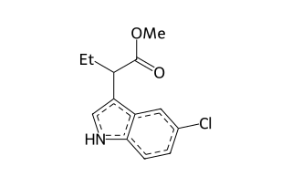 CCC(C(=O)OC)c1c[nH]c2ccc(Cl)cc12